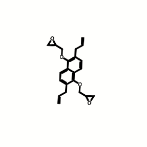 C=CCc1ccc2c(OCC3CO3)c(CC=C)ccc2c1OCC1CO1